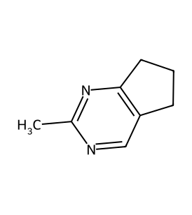 Cc1ncc2c(n1)CCC2